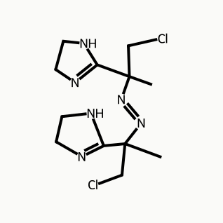 CC(CCl)(N=NC(C)(CCl)C1=NCCN1)C1=NCCN1